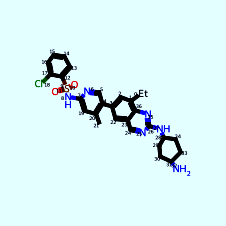 CCc1cc(-c2cnc(NS(=O)(=O)c3ccccc3Cl)cc2C)cc2cnc(NC3CCC(N)CC3)nc12